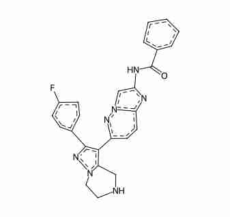 O=C(Nc1cn2nc(-c3c(-c4ccc(F)cc4)nn4c3CNCC4)ccc2n1)c1ccccc1